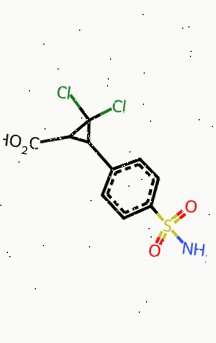 NS(=O)(=O)c1ccc(C2C(C(=O)O)C2(Cl)Cl)cc1